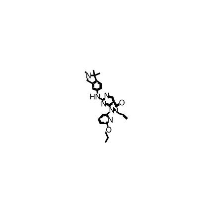 C=CCn1c(=O)c2cnc(Nc3ccc4c(c3)CN(C)C4(C)C)nc2n1-c1cccc(OCCC)n1